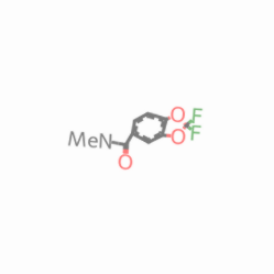 CNC(=O)c1ccc2c(c1)OC(F)(F)O2